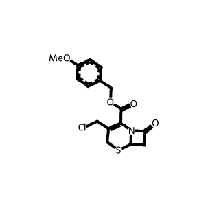 COc1ccc(COC(=O)C2=C(CCl)CSC3CC(=O)N23)cc1